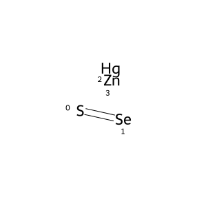 S=[Se].[Hg].[Zn]